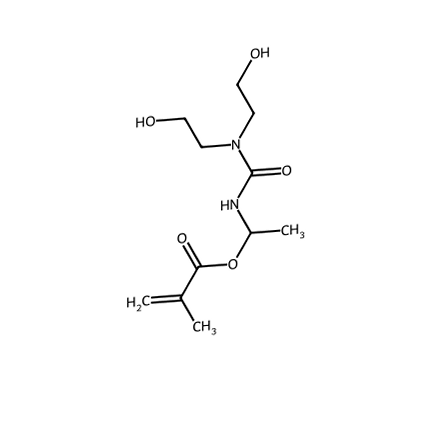 C=C(C)C(=O)OC(C)NC(=O)N(CCO)CCO